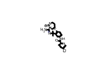 CC(C)(/N=C(/N)N1CCCCN=[SH]1=O)c1cc(NC(=O)c2ccc(Cl)cn2)ccc1F